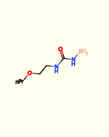 BNC(=O)NCCOCCC